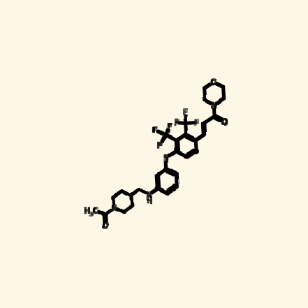 CC(=O)N1CCC(CNc2cccc(Sc3ccc(/C=C/C(=O)N4CCOCC4)c(C(F)(F)F)c3C(F)(F)F)c2)CC1